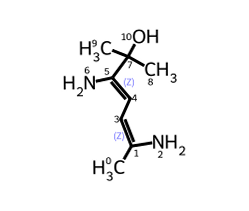 C/C(N)=C/C=C(\N)C(C)(C)O